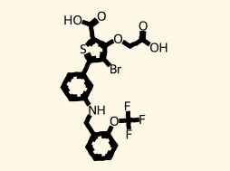 O=C(O)COc1c(C(=O)O)sc(-c2cccc(NCc3ccccc3OC(F)(F)F)c2)c1Br